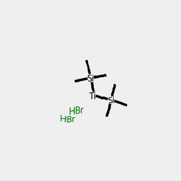 Br.Br.C[Si](C)(C)[Ti][Si](C)(C)C